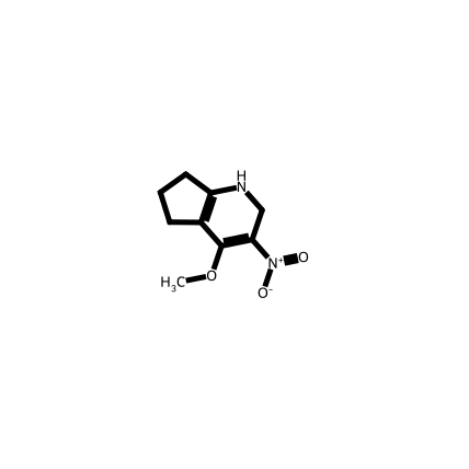 COC1=C([N+](=O)[O-])CNC2=C1CCC2